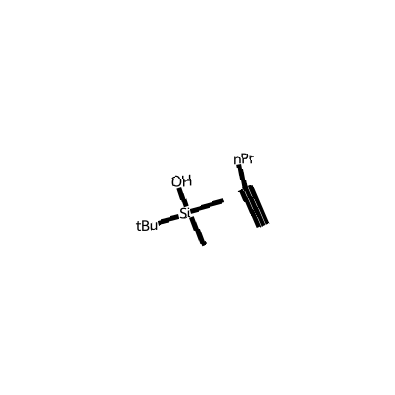 C#CCCC.CC(C)(C)[Si](C)(C)O